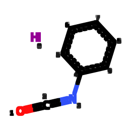 I.O=C=Nc1ccccc1